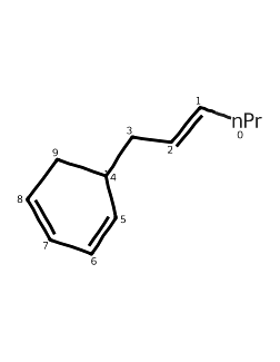 CCC/C=C/C[C]1C=CC=CC1